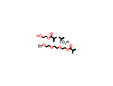 C=C(C)C(=O)O.C=C(C)C(=O)OCCO.C=C(C)C(=O)OCCOCCOCCOCC